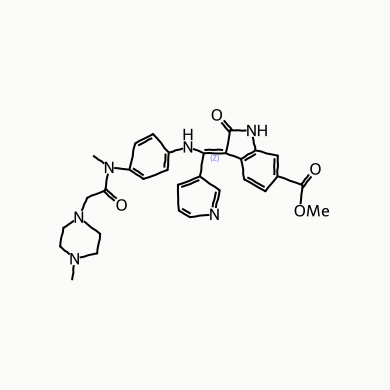 COC(=O)c1ccc2c(c1)NC(=O)/C2=C(\Nc1ccc(N(C)C(=O)CN2CCN(C)CC2)cc1)c1cccnc1